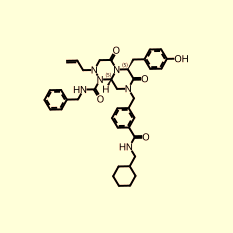 C=CCN1CC(=O)N2[C@@H](Cc3ccc(O)cc3)C(=O)N(Cc3cccc(C(=O)NCC4CCCCC4)c3)C[C@@H]2N1C(=O)NCc1ccccc1